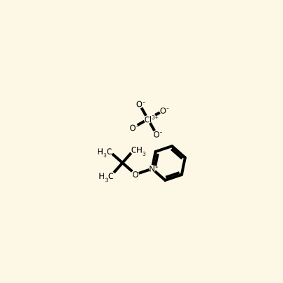 CC(C)(C)O[n+]1ccccc1.[O-][Cl+3]([O-])([O-])[O-]